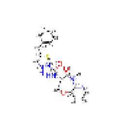 CN1C(=O)[C@@H](NC(=O)N2NC=C(Cc3ccccc3)S2)COc2cccnc21